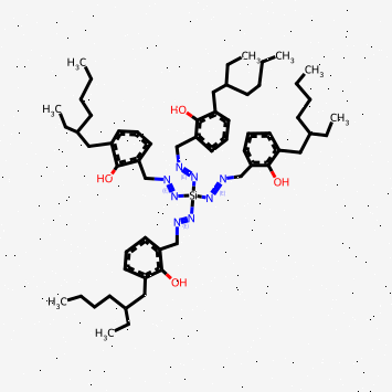 CCCCC(CC)Cc1cccc(C/N=N/[Si](/N=N/Cc2cccc(CC(CC)CCCC)c2O)(/N=N/Cc2cccc(CC(CC)CCCC)c2O)/N=N/Cc2cccc(CC(CC)CCCC)c2O)c1O